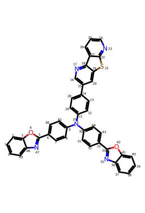 c1ccc2oc(-c3ccc(N(c4ccc(-c5cnc6c(c5)sc5ncccc56)cc4)c4ccc(-c5nc6ccccc6o5)cc4)cc3)nc2c1